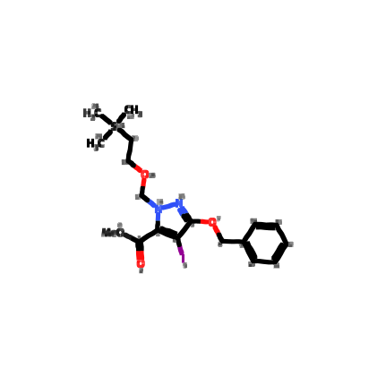 COC(=O)c1c(I)c(OCc2ccccc2)nn1COCC[Si](C)(C)C